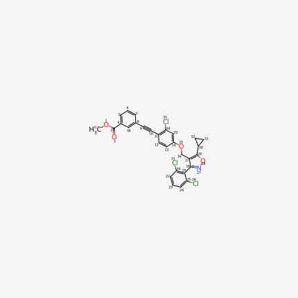 COC(=O)c1cccc(C#Cc2ccc(OCc3c(-c4c(Cl)cccc4Cl)noc3C3CC3)cc2Cl)c1